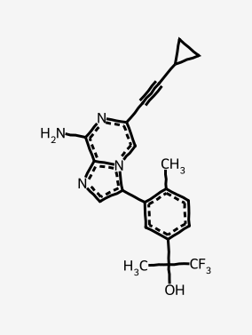 Cc1ccc(C(C)(O)C(F)(F)F)cc1-c1cnc2c(N)nc(C#CC3CC3)cn12